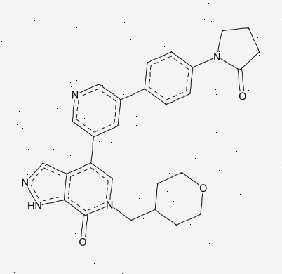 O=C1CCCN1c1ccc(-c2cncc(-c3cn(CC4CCOCC4)c(=O)c4[nH]ncc34)c2)cc1